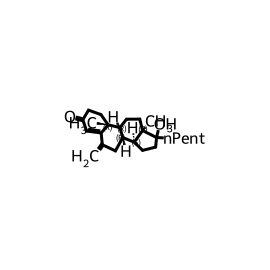 C=C1C[C@@H]2[C@@H](CC[C@@]3(C)[C@H]2CCC3(O)CCCCC)[C@@]2(C)CCC(=O)C=C12